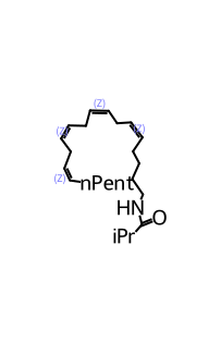 CCCCC/C=C\C/C=C\C/C=C\C/C=C\CCCCNC(=O)C(C)C